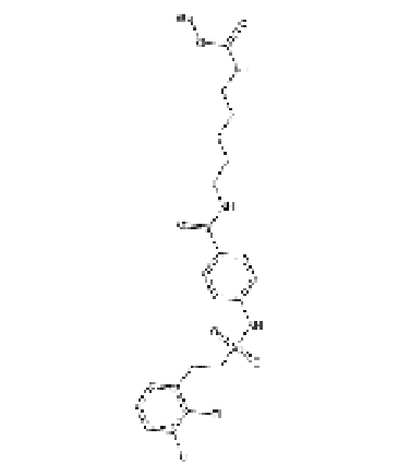 CC(C)(C)OC(=O)NCCCCCNC(=O)c1ccc(NS(=O)(=O)CCc2cccc(Cl)c2Cl)cc1